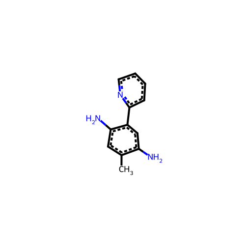 Cc1cc(N)c(-c2ccccn2)cc1N